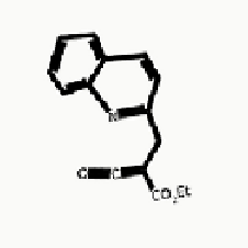 CCOC(=O)C(=C=O)Cc1ccc2ccccc2n1